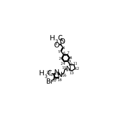 COC(=O)C=Cc1ccc(C2CCCN2CCn2cc(Br)c(C)n2)cc1